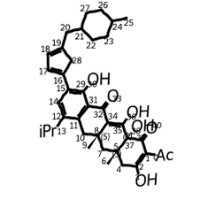 CC(=O)C1=C(O)C[C@]2(C)C[C@]3(C)Cc4c(C(C)C)cc(C5=CC=C(CC6CCC(C)CC6)C5)c(O)c4C(=O)C3=C(O)[C@@]2(O)C1=O